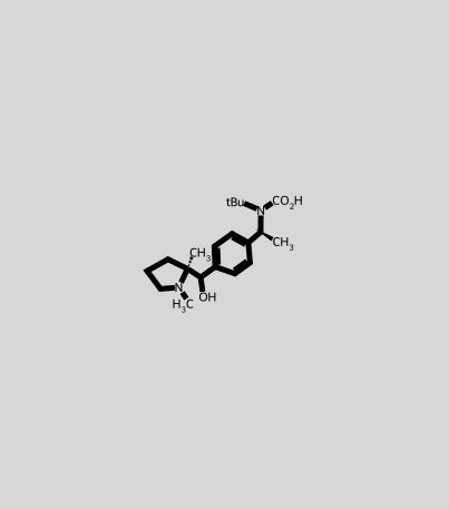 C[C@@H](c1ccc(C(O)[C@]2(C)CCCN2C)cc1)N(C(=O)O)C(C)(C)C